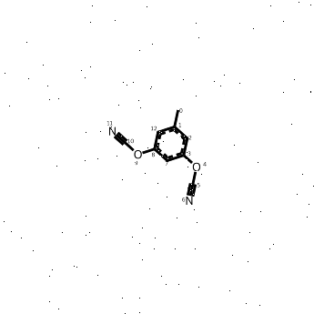 Cc1cc(OC#N)cc(OC#N)c1